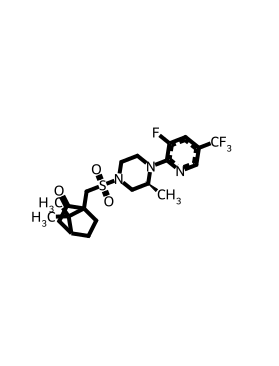 C[C@H]1CN(S(=O)(=O)CC23CCC(CC2=O)C3(C)C)CCN1c1ncc(C(F)(F)F)cc1F